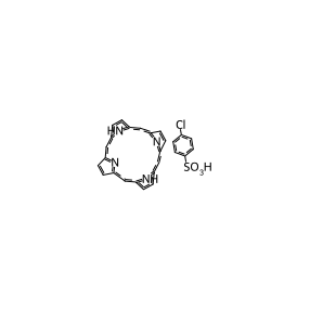 C1=Cc2cc3ccc(cc4nc(cc5ccc(cc1n2)[nH]5)C=C4)[nH]3.O=S(=O)(O)c1ccc(Cl)cc1